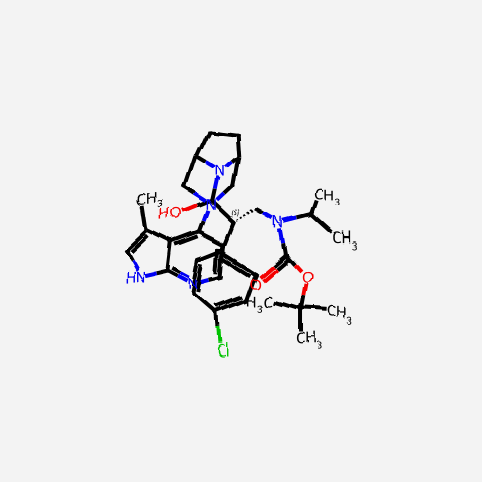 Cc1c[nH]c2nccc(N3CC4CCC(C3)N4C(O)[C@H](CN(C(=O)OC(C)(C)C)C(C)C)c3ccc(Cl)cc3)c12